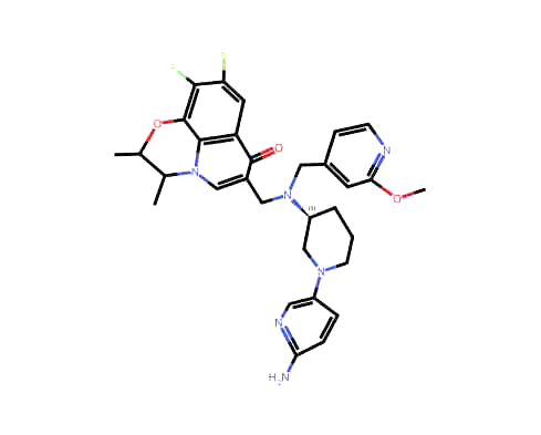 COc1cc(CN(Cc2cn3c4c(c(F)c(F)cc4c2=O)OC(C)C3C)[C@H]2CCCN(c3ccc(N)nc3)C2)ccn1